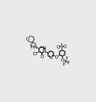 CS(=O)(=O)c1ccc(OC(F)(F)F)c(Oc2ccc(-n3ncc(NC[C@@]4(F)CCCOC4)c(Cl)c3=O)cn2)c1